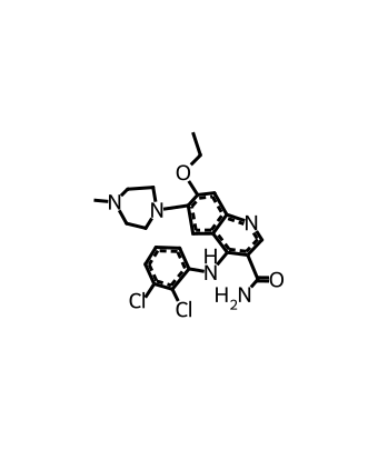 CCOc1cc2ncc(C(N)=O)c(Nc3cccc(Cl)c3Cl)c2cc1N1CCN(C)CC1